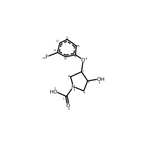 O=C(O)N1CC(O)C(Oc2cccc(F)c2)C1